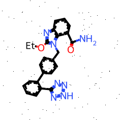 CCOc1nc2cccc(C(N)=O)c2n1Cc1ccc(-c2ccccc2-c2nn[nH]n2)cc1